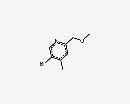 COCc1cc(C)c(Br)cn1